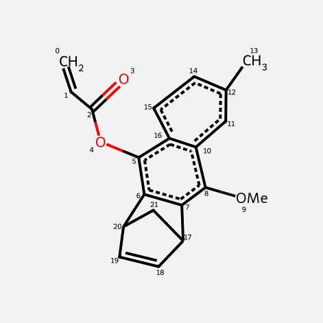 C=CC(=O)Oc1c2c(c(OC)c3cc(C)ccc13)C1C=CC2C1